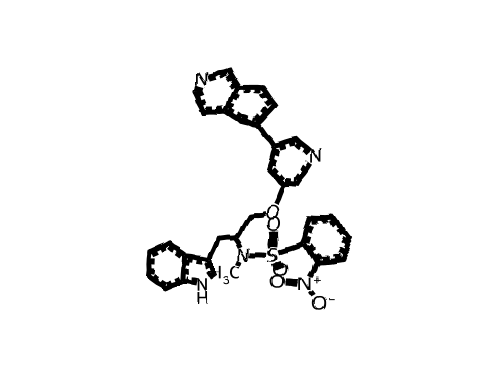 CN(C(COc1cncc(-c2ccc3cnccc3c2)c1)Cc1c[nH]c2ccccc12)S(=O)(=O)c1ccccc1[N+](=O)[O-]